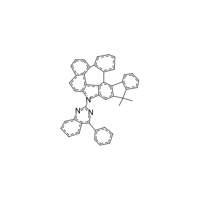 CC1(C)c2ccccc2-c2c1cc1c3c2-c2ccccc2-c2cccc4ccc(c3c24)n1-c1nc(-c2ccccc2)c2ccccc2n1